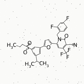 CCCS(=O)(=O)c1cc(-c2ccc(-c3cc(C(F)(F)F)c(C#N)c(=O)n3Cc3ccc(F)cc3F)o2)cc(C(C)C)c1